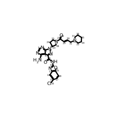 Nc1ncnc2c1c(C(=O)Nc1nc3cc(Cl)ccc3o1)nn2[C@@H]1CCN(C(=O)C=CCN2CCCCC2)C1